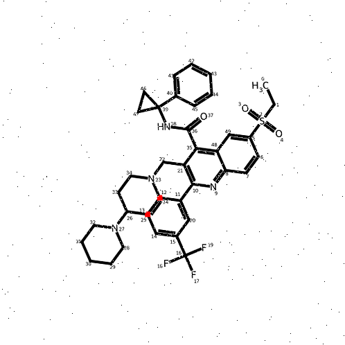 CCS(=O)(=O)c1ccc2nc(-c3cccc(C(F)(F)F)c3)c(CN3CCC(N4CCCCC4)CC3)c(C(=O)NC3(c4ccccc4)CC3)c2c1